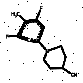 Cc1c(F)cc(N2CCC(C#N)CC2)cc1F